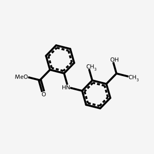 COC(=O)c1ccccc1Nc1cccc(C(C)O)c1C